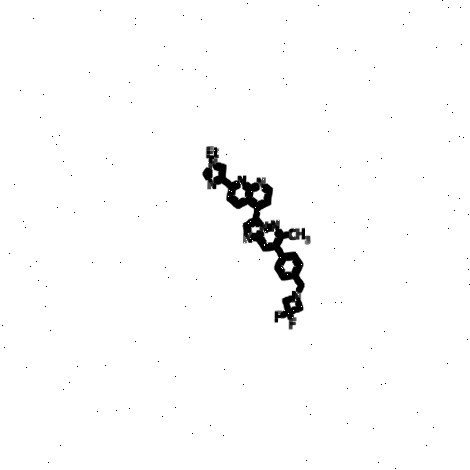 CCn1cnc(-c2ccc3c(-c4cnc5cc(-c6ccc(CN7CC(F)(F)C7)cc6)c(C)nn45)ccnc3n2)c1